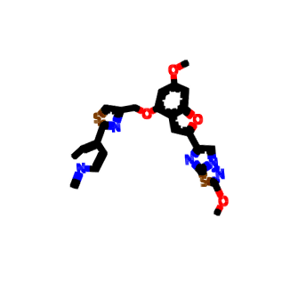 C=N/C=C\C(=C/C)c1nc(COc2cc(OC)cc3oc(-c4cn5nc(OC)sc5n4)cc23)cs1